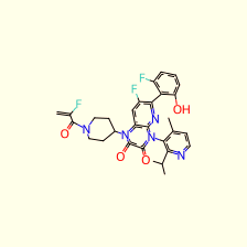 C=C(F)C(=O)N1CCC(n2c(=O)c(=O)n(-c3c(C)ccnc3C(C)C)c3nc(-c4c(O)cccc4F)c(F)cc32)CC1